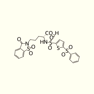 O=C(O)[C@@H](CCCN1C(=O)c2ccccc2S1(=O)=O)NS(=O)(=O)c1ccc(S(=O)(=O)c2ccccc2)s1